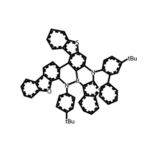 CC(C)(C)c1ccc(N2B3c4c(cc5sc6ccccc6c5c4-c4ccc5c(oc6ccccc65)c42)N(c2ccc(C(C)(C)C)cc2-c2ccccc2)c2sc4ccccc4c23)cc1